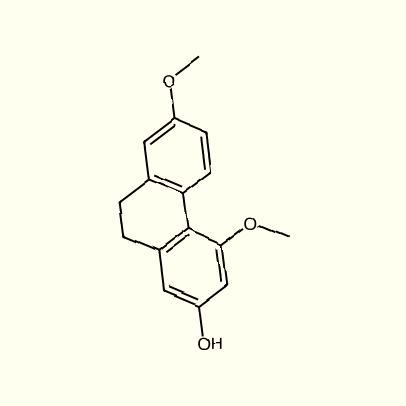 COc1ccc2c(c1)CCc1cc(O)cc(OC)c1-2